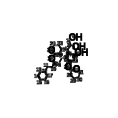 OCC(O)C[C@@H]1[C@@H](CC[C@H](CCc2ccccc2)OC2CCCCO2)[C@H](OC2CCCCO2)C[C@@H]1O